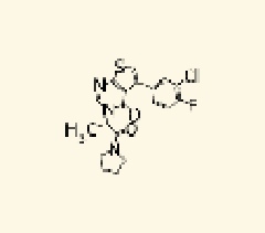 CC(C(=O)N1CCCC1)n1cnc2scc(-c3ccc(F)c(Cl)c3)c2c1=O